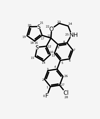 Fc1ccc(-c2ccc3c(c2)C(c2cccs2)(c2cccs2)OCCN3)cc1Cl